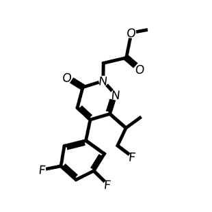 COC(=O)Cn1nc(C(C)CF)c(-c2cc(F)cc(F)c2)cc1=O